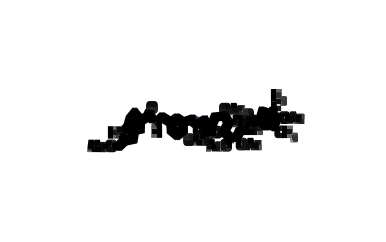 COCc1cc2cc(C(=O)NCc3cccc(/C=C/C[C@]4(C(=O)OC)C[C@H](OC(C)=O)[C@@H](NC(C)=O)[C@H]([C@H](OC(C)=O)[C@@H](CNC(=O)c5cc(C)c(OC(C)=O)c(C)c5)OC(C)=O)O4)c3)ccc2[nH]1